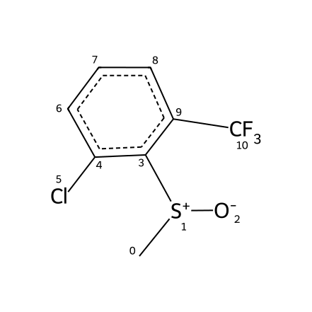 C[S+]([O-])c1c(Cl)cccc1C(F)(F)F